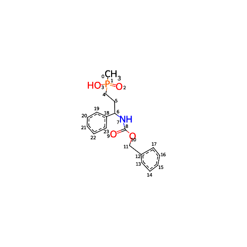 CP(=O)(O)CCC(NC(=O)OCc1ccccc1)c1ccccc1